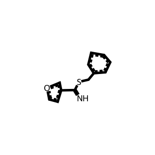 N=C(SCc1ccccc1)c1ccoc1